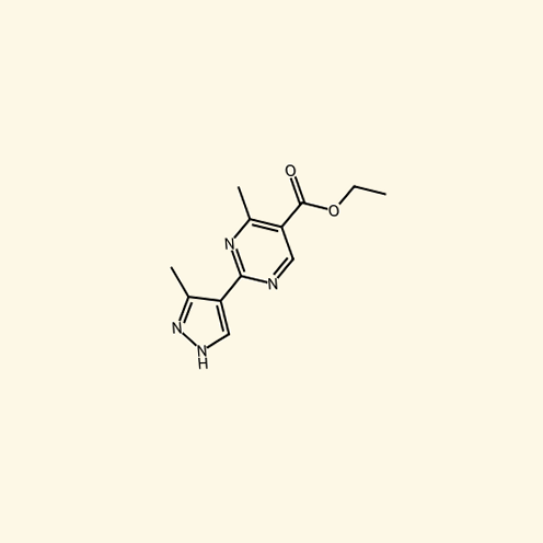 CCOC(=O)c1cnc(-c2c[nH]nc2C)nc1C